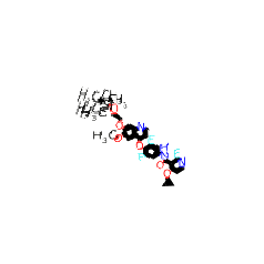 COc1cc2c(Oc3c(F)cc(NC(=O)c4c(OC5CC5)ccnc4F)cc3F)ccnc2cc1OCCO[Si](C)(C)C(C)(C)C